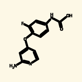 Nc1cc(Oc2ccc(NC(=O)O)cc2F)ccn1